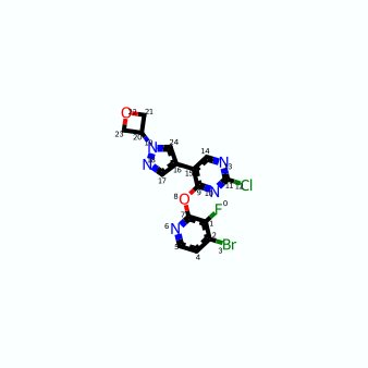 Fc1c(Br)ccnc1Oc1nc(Cl)ncc1-c1cnn(C2COC2)c1